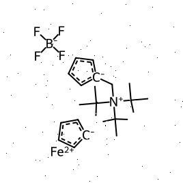 CC(C)(C)[N+](C[c-]1cccc1)(C(C)(C)C)C(C)(C)C.F[B-](F)(F)F.[Fe+2].c1cc[cH-]c1